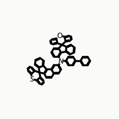 c1ccc(-c2ccc(N(c3ccc4ccc5c(c4c3)-c3ccccc3C53c4ccccc4Sc4ccccc43)c3cccc4c3-c3ccccc3C43c4ccccc4Oc4ccccc43)cc2)cc1